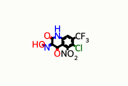 O=C1Nc2cc(C(F)(F)F)c(Cl)c([N+](=O)[O-])c2C(=O)/C1=N/O